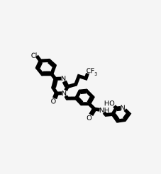 O=C(NCc1cccnc1O)c1cccc(Cn2c(CCCC(F)(F)F)nc(-c3ccc(Cl)cc3)cc2=O)c1